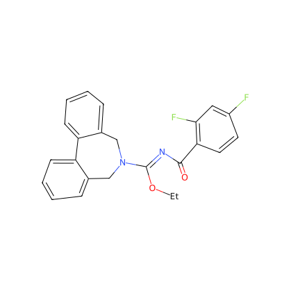 CCO/C(=N\C(=O)c1ccc(F)cc1F)N1Cc2ccccc2-c2ccccc2C1